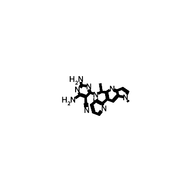 CC(Nc1nc(N)nc(N)c1C#N)c1nc2ccn(C)c2cc1-c1ccccn1